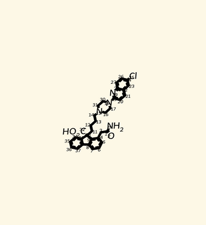 NC(=O)Cc1cccc2c1C(CCCCN1CCN(c3ccc4cc(Cl)ccc4n3)CC1)(C(=O)O)c1ccccc1-2